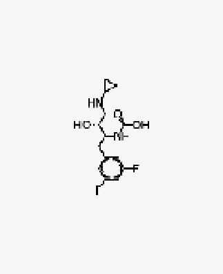 O=C(O)N[C@@H](Cc1cc(F)cc(F)c1)[C@H](O)CNC1CC1